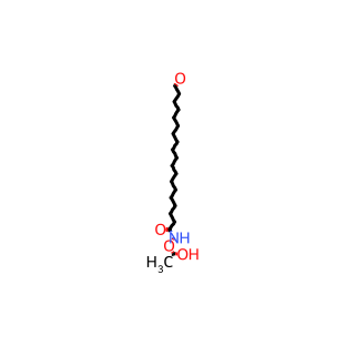 C[C@H](O)ONC(=O)CCCCCCCCCCCCCCCCCC=O